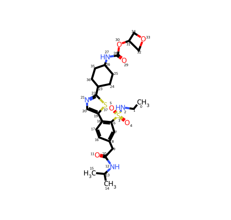 CCNS(=O)(=O)c1cc(CC(=O)NC(C)C)ccc1-c1cnc(C2CCC(NC(=O)OC3COC3)CC2)s1